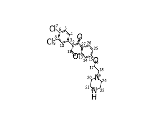 O=c1c(-c2ccc(Cl)c(Cl)c2)coc2cc(OCCN3CCNCC3)ccc12